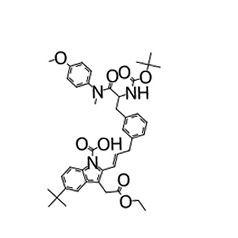 CCOC(=O)Cc1c(C=CCc2cccc(CC(NC(=O)OC(C)(C)C)C(=O)N(C)c3ccc(OC)cc3)c2)n(C(=O)O)c2ccc(C(C)(C)C)cc12